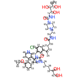 CCC[C@@H](O)[C@H](O)[C@@H](O)CNC(=O)N1CCN(CCNC(=O)CCCC(C)c2ccc(Cl)c(CN(C(=O)NCCCC[C@H](O)CO)C3(c4cnccc4-c4ccccc4OC4CC4)CC3)c2)CC1